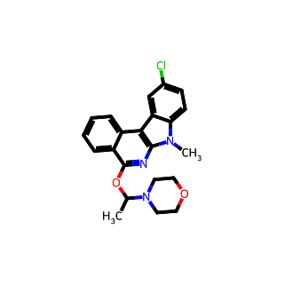 CC(Oc1nc2c(c3ccccc13)c1cc(Cl)ccc1n2C)N1CCOCC1